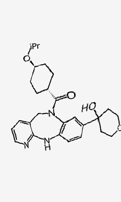 CC(C)O[C@H]1CC[C@H](C(=O)N2Cc3cccnc3Nc3ccc(C4(O)CCOCC4)cc32)CC1